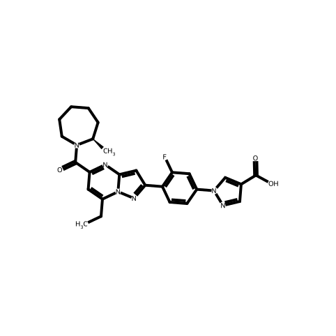 CCc1cc(C(=O)N2CCCCC[C@H]2C)nc2cc(-c3ccc(-n4cc(C(=O)O)cn4)cc3F)nn12